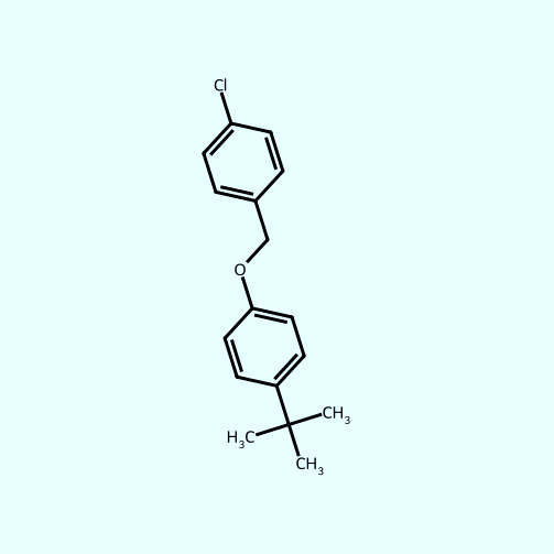 CC(C)(C)c1ccc(OCc2ccc(Cl)cc2)cc1